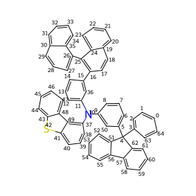 c1ccc(C2(c3cccc(N(c4cccc(-c5ccc6ccccc6c5-c5cccc6ccccc56)c4)c4cccc5sc6ccccc6c45)c3)c3ccccc3-c3ccccc32)cc1